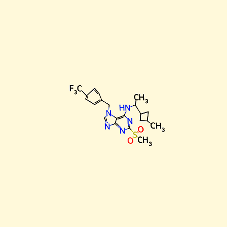 CC1CC(C(C)Nc2nc(S(C)(=O)=O)nc3ncn(Cc4ccc(C(F)(F)F)cc4)c23)C1